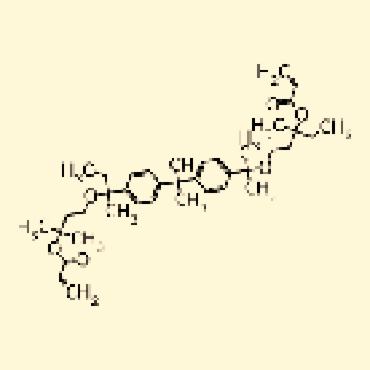 C=CC(=O)OC(C)(C)CCOC(C)(CC)c1ccc(C(C)(C)c2ccc(C(C)(C)OCCC(C)(CC)OC(=O)C=C)cc2)cc1